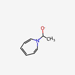 CC([O])N1C=CC=CC=C1